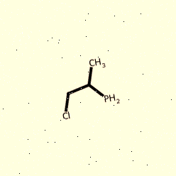 CC(P)CCl